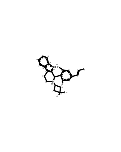 C/C=C/c1cc(F)c(C2c3[nH]c4ccccc4c3CCN2C2CC(F)(F)C2)c(F)c1